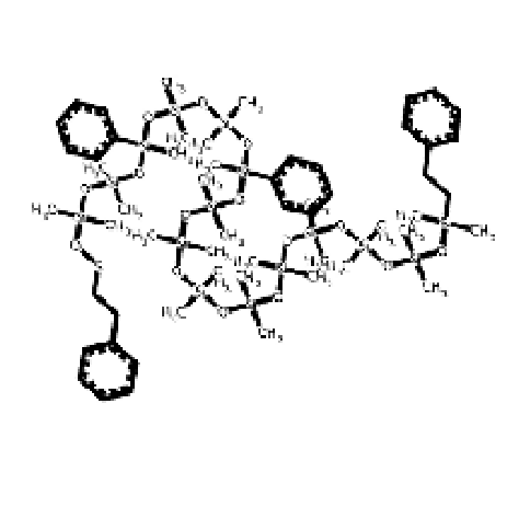 C[Si](C)(CCc1ccccc1)O[Si](C)(C)O[Si](C)(C)O[Si](C)(C)O[Si](C)(C)O[Si](C)(C)O[Si](C)(C)O[Si](C)(C)O[Si](C)(C)O[Si](C)(O[Si](C)(C)O[Si](C)(C)O[Si](C)(O[Si](C)(C)O[Si](C)(C)OSCCc1ccccc1)c1ccccc1)c1ccccc1